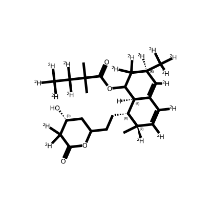 [2H]C1=C([2H])[C@]([2H])(C)[C@H](CCC2C[C@@H](O)C([2H])([2H])C(=O)O2)[C@@H]2C1=C([2H])[C@]([2H])(C([2H])([2H])[2H])C([2H])([2H])C2OC(=O)C(C)(C)C([2H])([2H])C([2H])([2H])[2H]